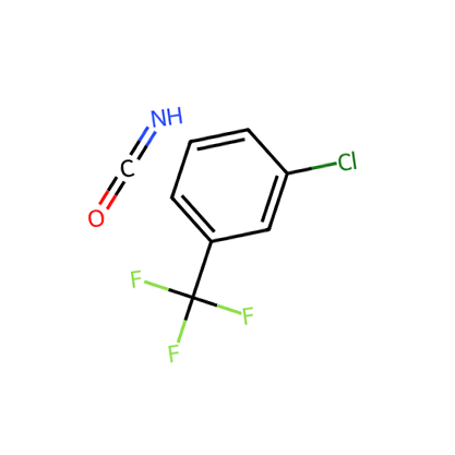 FC(F)(F)c1cccc(Cl)c1.N=C=O